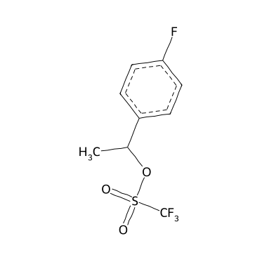 CC(OS(=O)(=O)C(F)(F)F)c1ccc(F)cc1